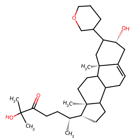 C[C@H](CCC(=O)C(C)(C)O)[C@H]1CCC2C3CC=C4C[C@@H](O)C(C5CCCOC5)C[C@]4(C)C3CC[C@@]21C